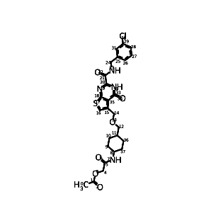 CC(=O)OCC(=O)NC1CCC(COCc2csc3nc(C(=O)NCc4cccc(Cl)c4)[nH]c(=O)c23)CC1